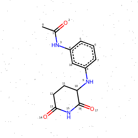 CC(=O)Nc1cccc(NC2CCC(=O)NC2=O)c1